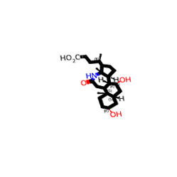 C[C@H](CCC(=O)O)C1CC[C@H]2[C@H]3C(CC(=O)N[C@]12C)[C@@]1(C)CC[C@@H](O)C[C@H]1C[C@H]3O